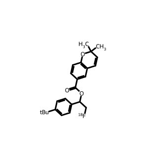 CC1(C)C=Cc2cc(C(=O)OC(C[18F])c3ccc(C(C)(C)C)cc3)ccc2O1